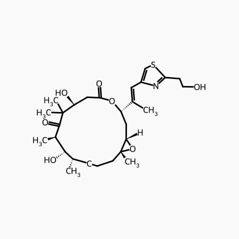 C/C(=C\c1csc(CCO)n1)[C@@H]1C[C@@H]2O[C@]2(C)CCC[C@H](C)[C@H](O)[C@@H](C)C(=O)C(C)(C)[C@@H](O)CC(=O)O1